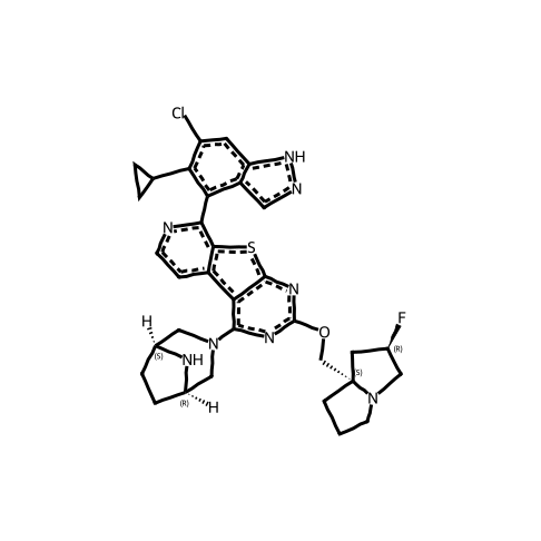 F[C@H]1CN2CCC[C@@]2(COc2nc(N3C[C@H]4CC[C@@H](C3)N4)c3c(n2)sc2c(-c4c(C5CC5)c(Cl)cc5[nH]ncc45)nccc23)C1